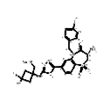 COCC1(Nc2nnc(-c3ccc4c(c3)N(Cc3ccc(Cl)cc3)C(=O)[C@@H](N)CS4(=O)=O)o2)CC(F)(F)C1